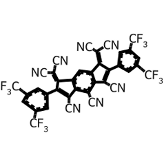 N#CC(C#N)=C1C(c2cc(C(F)(F)F)cc(C(F)(F)F)c2)=C(C#N)c2c1cc1c(c2C#N)C(C#N)=C(c2cc(C(F)(F)F)cc(C(F)(F)F)c2)C1=C(C#N)C#N